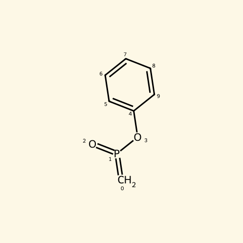 C=P(=O)Oc1ccccc1